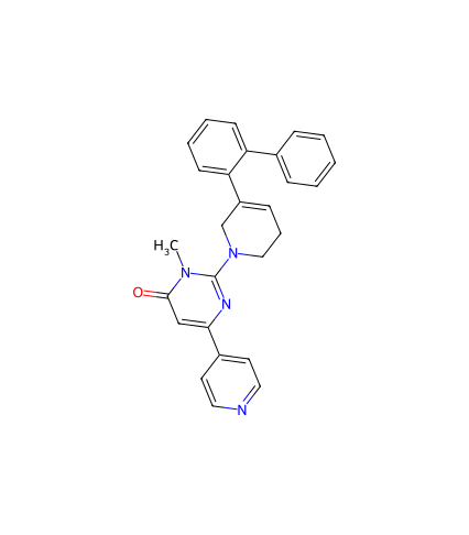 Cn1c(N2CCC=C(c3ccccc3-c3ccccc3)C2)nc(-c2ccncc2)cc1=O